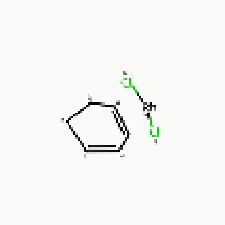 C1=CCCC=C1.[Cl][Rh][Cl]